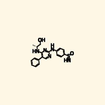 C[C@H](CO)Nc1nc(Nc2ccc([SH](=N)=O)cc2)ncc1-c1ccccc1